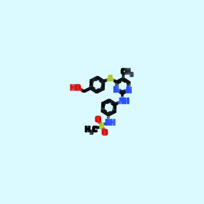 Cc1cnc(Nc2cccc(NS(C)(=O)=O)c2)nc1Sc1ccc(CO)cc1